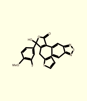 COc1ccc(C2(O)OC(=O)C(c3ccc4nsnc4c3)=C2Cc2cccs2)cc1F